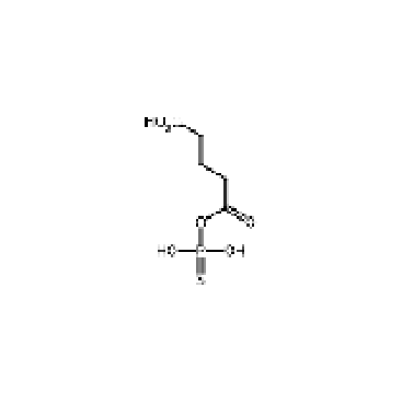 O=C(O)CCCC(=O)OP(O)(O)=S